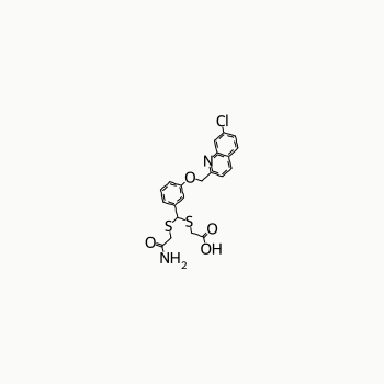 NC(=O)CSC(SCC(=O)O)c1cccc(OCc2ccc3ccc(Cl)cc3n2)c1